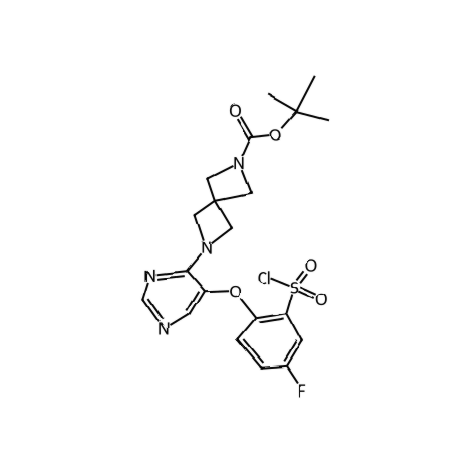 CC(C)(C)OC(=O)N1CC2(C1)CN(c1ncncc1Oc1ccc(F)cc1S(=O)(=O)Cl)C2